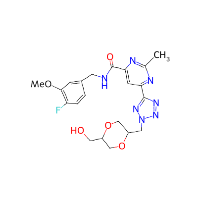 COc1cc(CNC(=O)c2cc(-c3nnn(CC4COC(CO)CO4)n3)nc(C)n2)ccc1F